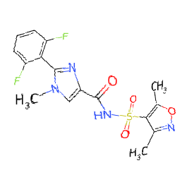 Cc1noc(C)c1S(=O)(=O)NC(=O)c1cn(C)c(-c2c(F)cccc2F)n1